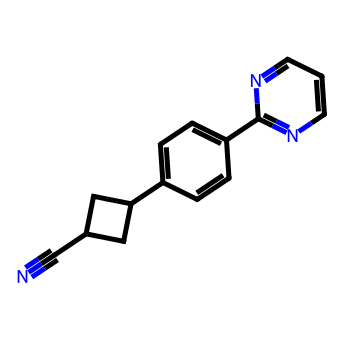 N#CC1CC(c2ccc(-c3ncccn3)cc2)C1